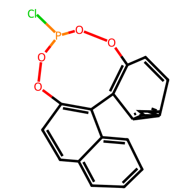 Clp1ooc2ccc3ccccc3c2c2c(ccc3ccccc32)oo1